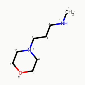 [CH2]NCCCN1CCOCC1